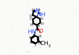 Cc1cccc(NC(=O)C2CCC3(CC=NN3)CC2)c1